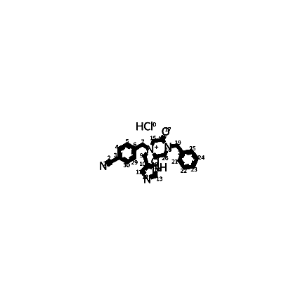 Cl.N#Cc1ccc(C[N+]2(Cc3cnc[nH]3)CC(=O)N(Cc3ccccc3)CC2=O)cc1